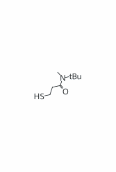 CN(C(=O)CCS)C(C)(C)C